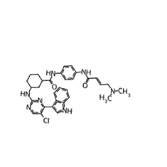 CN(C)C/C=C/C(=O)Nc1ccc(NC(=O)C2CCCC(Nc3ncc(Cl)c(-c4c[nH]c5ccccc45)n3)C2)cc1